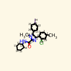 Cc1ccc(-c2nc(C(=O)NC3CCCCC3)n(C)c2-c2ccc(I)cc2)c(Cl)c1